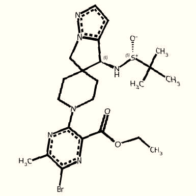 CCOC(=O)c1nc(Br)c(C)nc1N1CCC2(CC1)Cn1nccc1[C@H]2N[S@+]([O-])C(C)(C)C